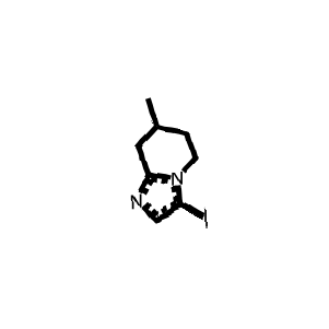 CC1CCn2c(I)cnc2C1